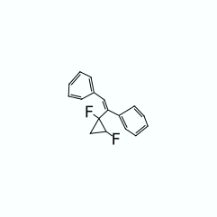 FC1CC1(F)C(=Cc1ccccc1)c1ccccc1